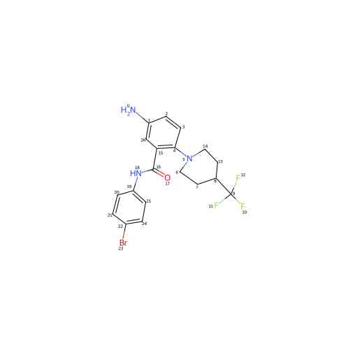 Nc1ccc(N2CCC(C(F)(F)F)CC2)c(C(=O)Nc2ccc(Br)cc2)c1